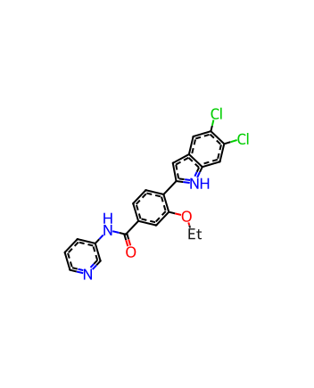 CCOc1cc(C(=O)Nc2cccnc2)ccc1-c1cc2cc(Cl)c(Cl)cc2[nH]1